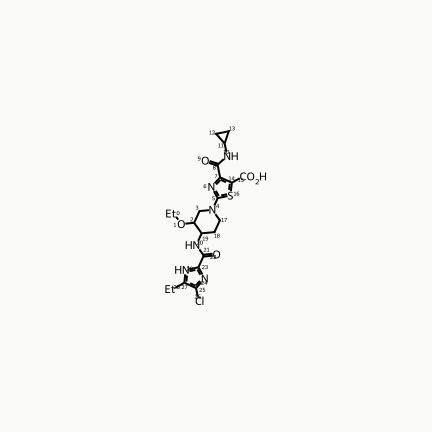 CCOC1CN(c2nc(C(=O)NC3CC3)c(C(=O)O)s2)CCC1NC(=O)c1nc(Cl)c(CC)[nH]1